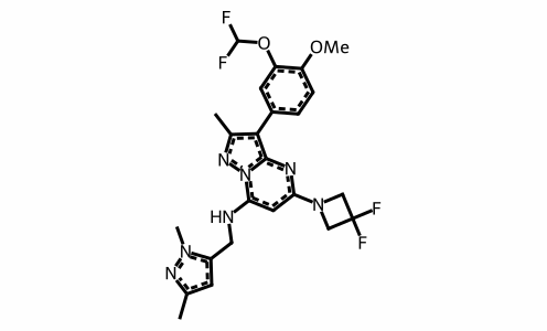 COc1ccc(-c2c(C)nn3c(NCc4cc(C)nn4C)cc(N4CC(F)(F)C4)nc23)cc1OC(F)F